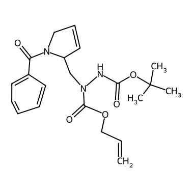 C=CCOC(=O)N(CC1C=CCN1C(=O)c1ccccc1)NC(=O)OC(C)(C)C